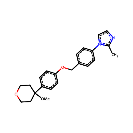 COC1(c2ccc(OCc3ccc(-n4ccnc4C)cc3)cc2)CCOCC1